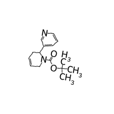 CC(C)(C)OC(=O)N1CC=CCC1c1cccnc1